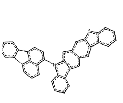 c1ccc2c(c1)-c1cccc3c(-n4c5ccccc5c5cc6cc7c(cc6cc54)sc4ccccc47)ccc-2c13